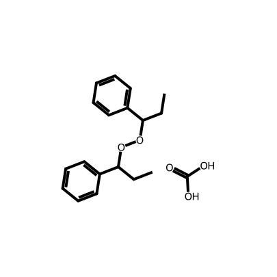 CCC(OOC(CC)c1ccccc1)c1ccccc1.O=C(O)O